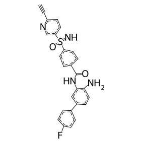 C#Cc1ccc(S(=N)(=O)c2ccc(C(=O)Nc3cc(-c4ccc(F)cc4)ccc3N)cc2)cn1